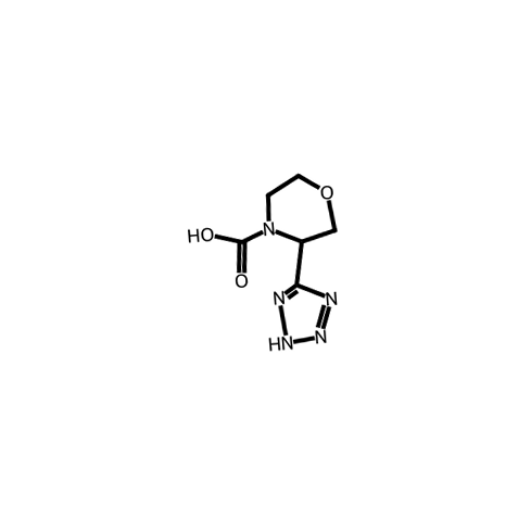 O=C(O)N1CCOCC1c1nn[nH]n1